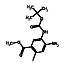 COC(=O)c1cc(NC(=O)OC(C)(C)C)c(N)cc1I